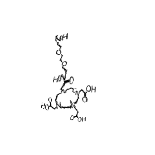 CNCCOCCOCCNC(=O)CN1CCN(CC(=O)O)CCN(CC(=O)O)CCN(CC(=O)O)CC1